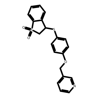 O=S1(=O)CC(Sc2ccc(OCc3cccnc3)cc2)c2ccccc21